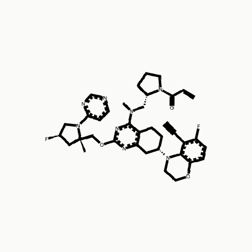 C#Cc1c(F)ccc2c1N([C@H]1CCc3c(nc(OC[C@]4(C)C[C@@H](F)CN4c4ccncn4)nc3N(C)C[C@@H]3CCCN3C(=O)C=C)C1)CCO2